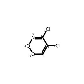 ClC1=COON=C1Cl